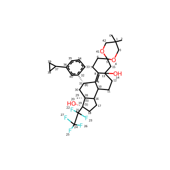 CC1(C)COC2(CCC3=C4C(CCC3(O)C2)C2CC[C@@](O)(C(F)(F)C(F)(F)F)[C@@]2(C)C[C@@H]4c2cccc(C3CC3)c2)OC1